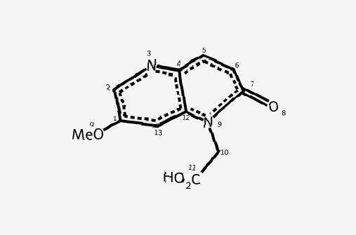 COc1cnc2ccc(=O)n(CC(=O)O)c2c1